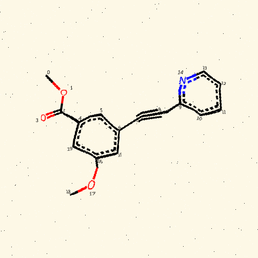 COC(=O)c1cc(C#Cc2ccccn2)cc(OC)c1